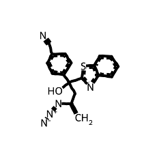 C=C(CC(O)(c1ccc(C#N)cc1)c1nc2ccccc2s1)N=[N+]=[N-]